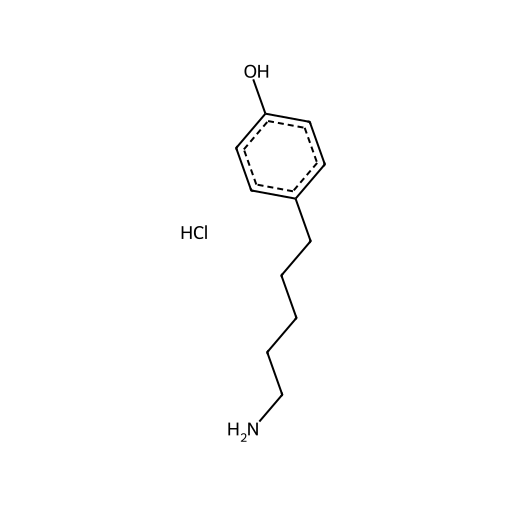 Cl.NCCCCCc1ccc(O)cc1